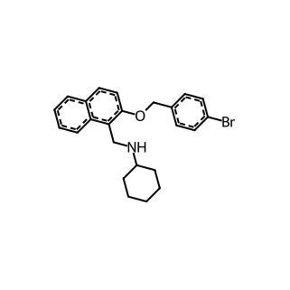 Brc1ccc(COc2ccc3ccccc3c2CNC2CCCCC2)cc1